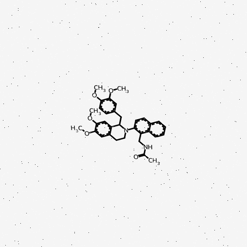 COc1ccc(CC2c3cc(OC)c(OC)cc3CCN2c2ccc3ccccc3c2CNC(C)=O)cc1OC